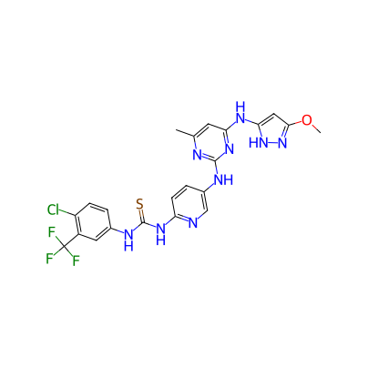 COc1cc(Nc2cc(C)nc(Nc3ccc(NC(=S)Nc4ccc(Cl)c(C(F)(F)F)c4)nc3)n2)[nH]n1